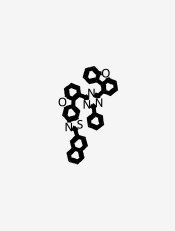 c1ccc(-c2nc(-c3cccc4oc5ccccc5c34)nc(-c3cccc4oc5cc6nc(-c7ccc8ccccc8c7)sc6cc5c34)n2)cc1